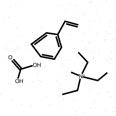 C=Cc1ccccc1.CC[N+](C)(CC)CC.O=C(O)O